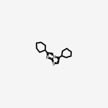 [c]1c(C2CCCCC2)nc2scc(C3CCCCC3)n12